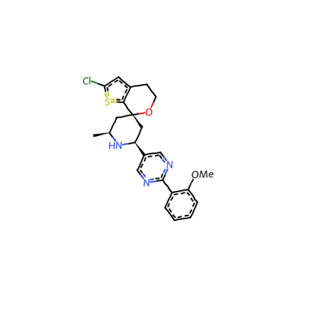 COc1ccccc1-c1ncc([C@@H]2C[C@]3(C[C@H](C)N2)OCCc2cc(Cl)sc23)cn1